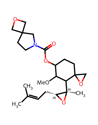 COC1C(OC(=O)N2CCC3(COC3)C2)CCC2(CO2)C1[C@@]1(C)O[C@@H]1CC=C(C)C